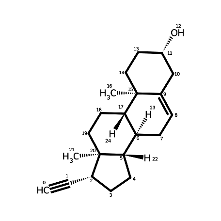 C#C[C@H]1CC[C@H]2[C@@H]3CC=C4C[C@@H](O)CC[C@]4(C)[C@H]3CC[C@]12C